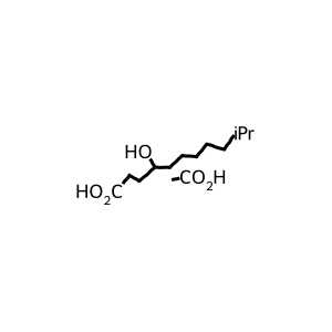 CC(=O)O.CC(C)CCCCCC(O)CCC(=O)O